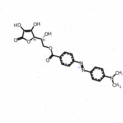 CN(C)c1ccc(/N=N/c2ccc(C(=O)OC[C@@H](O)[C@H]3OC(=O)C(O)=C3O)cc2)cc1